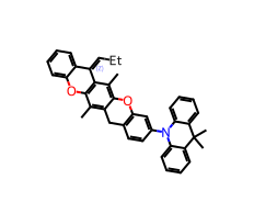 CC/C=C1/c2ccccc2Oc2c(C)c3c(c(C)c21)Oc1cc(N2c4ccccc4C(C)(C)c4ccccc42)ccc1C3